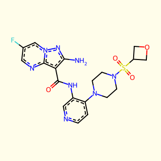 Nc1nn2cc(F)cnc2c1C(=O)Nc1cnccc1N1CCN(S(=O)(=O)C2COC2)CC1